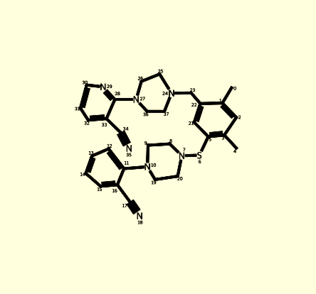 Cc1cc(C)c(SN2CCN(c3ccccc3C#N)CC2)cc1CN1CCN(c2ncccc2C#N)CC1